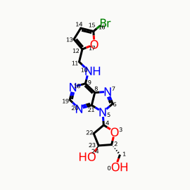 OC[C@H]1OC(n2cnc3c(NCc4ccc(Br)o4)ncnc32)C[C@@H]1O